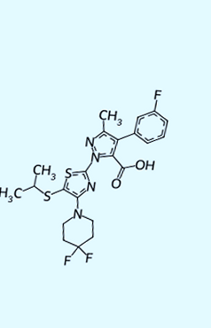 Cc1nn(-c2nc(N3CCC(F)(F)CC3)c(SC(C)C)s2)c(C(=O)O)c1-c1cccc(F)c1